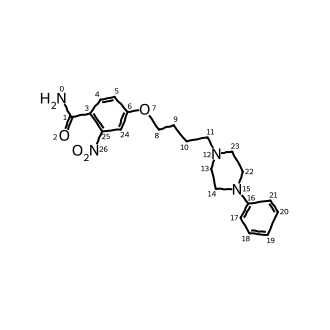 NC(=O)c1ccc(OCCCCN2CCN(c3ccccc3)CC2)cc1[N+](=O)[O-]